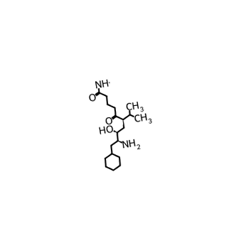 CC(C)[C@@H](C[C@H](O)[C@@H](N)CC1CCCCC1)C(=O)CCCC([NH])=O